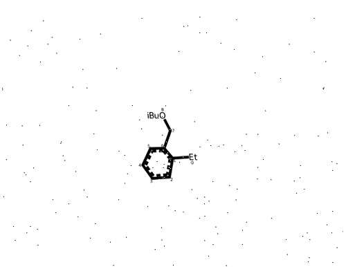 CCc1ccccc1COCC(C)C